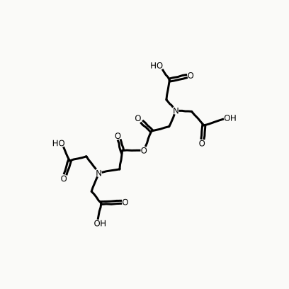 O=C(O)CN(CC(=O)O)CC(=O)OC(=O)CN(CC(=O)O)CC(=O)O